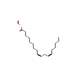 CCCCC/C=C\C/C=C\CCCCCCCC(=O)OC=O